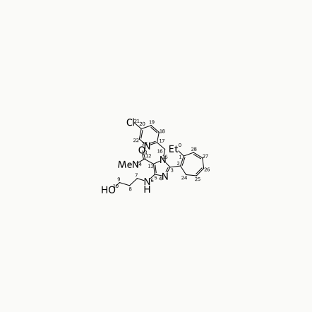 CCC1=C(c2nc(NCCCO)c(C(=O)NC)n2Cc2ccc(Cl)cn2)CC=CC=C1